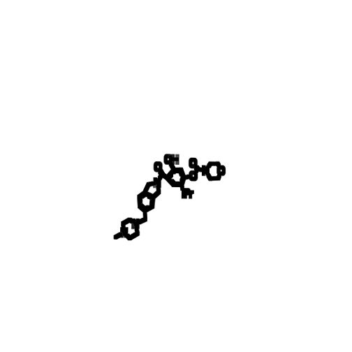 CC(C)c1cc(C(=O)N2Cc3ccc(CN4CCN(C)CC4)cc3C2)c(O)cc1OC(=O)N1CCOCC1